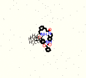 CC(Cc1cccc(CCC(=O)N2CCc3ccccc3C2)c1)NC[C@H](O[Si](C)(C)C(C)(C)C)c1ccc(OCc2ccccc2)c(NC=O)c1